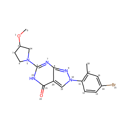 COC1CCN(c2nc3nn(-c4ccc(Br)cc4C)cc3c(=O)[nH]2)C1